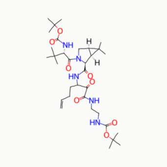 C=CCCC(NC(=O)[C@@H]1[C@H]2[C@@H](CN1C(=O)[C@@H](NC(=O)OC(C)(C)C)C(C)(C)C)C2(C)C)C(=O)C(=O)NCCNC(=O)OC(C)(C)C